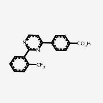 O=C(O)c1ccc(-c2ccnc(-c3ccccc3C(F)(F)F)n2)cc1